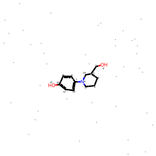 OCC1CCCN(c2ccc(O)cc2)C1